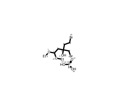 CCOC(CC(O)(CBr)CCBr)OCC.O=[PH](O)O